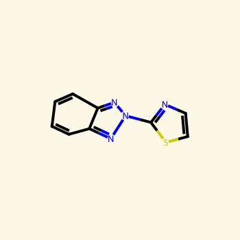 c1ccc2nn(-c3nccs3)nc2c1